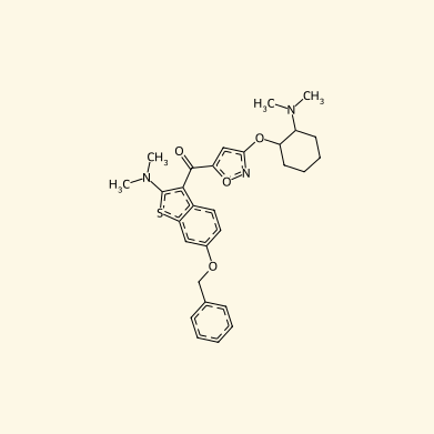 CN(C)c1sc2cc(OCc3ccccc3)ccc2c1C(=O)c1cc(OC2CCCCC2N(C)C)no1